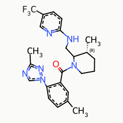 Cc1ccc(-n2cnc(C)n2)c(C(=O)N2CCC[C@@H](C)C2CNc2ccc(C(F)(F)F)cn2)c1